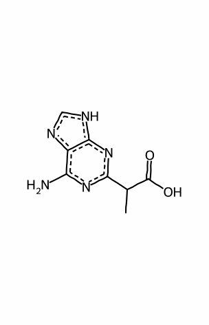 CC(C(=O)O)c1nc(N)c2nc[nH]c2n1